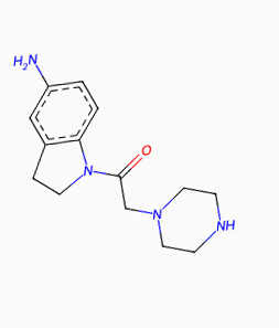 Nc1ccc2c(c1)CCN2C(=O)CN1CCNCC1